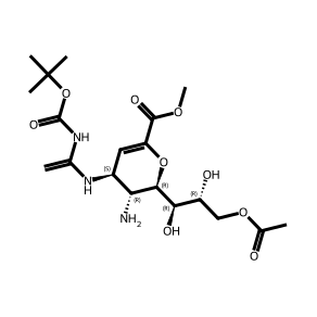 C=C(NC(=O)OC(C)(C)C)N[C@H]1C=C(C(=O)OC)O[C@@H]([C@H](O)[C@H](O)COC(C)=O)[C@@H]1N